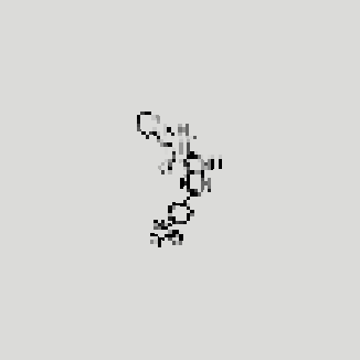 CC(C)S(=O)(=O)c1ccc(-c2cnc3[nH]cc(C(=O)NCC4(N)CCCCC4)c3n2)cc1